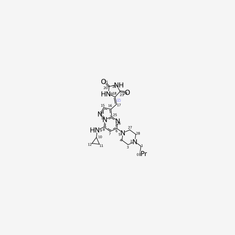 CC(C)CN1CCN(c2cc(NC3CC3)n3ncc(/C=C4\NC(=O)NC4=O)c3n2)CC1